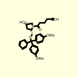 C#CCCCC(=O)N1C[C@H](O)C[C@H]1COC(c1ccccc1)(c1ccc(OC)cc1)c1ccc(OC)cc1